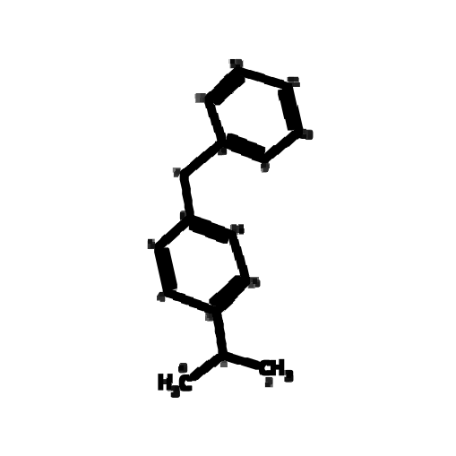 CC(C)c1ccc(Cc2c[c]ccc2)cc1